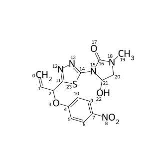 C=CC(Oc1ccc([N+](=O)[O-])cc1)c1nnc(N2C(=O)N(C)CC2O)s1